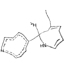 [2H]C1(c2ccncc2)NC=CC=C1C